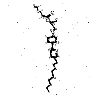 CCCCCCCCCc1ccc(-c2ccc(OCC(C)OC(=O)CCOCC)cc2)nc1